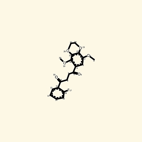 COc1cc(C(=O)CCC(=O)c2ccccc2F)c(OC)c2c1OCCO2